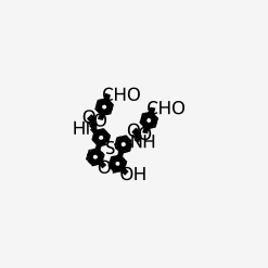 O=Cc1ccc(OC(=O)Nc2ccc(Sc3ccc(NC(=O)Oc4ccc(C=O)cc4)cc3-c3cccc(O)c3)c(-c3cccc(O)c3)c2)cc1